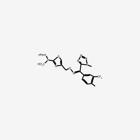 CCCCCN(C(=O)O)c1nc(CO/N=C(/c2ccc(C)c(C(F)(F)F)c2)c2nnnn2C)cs1